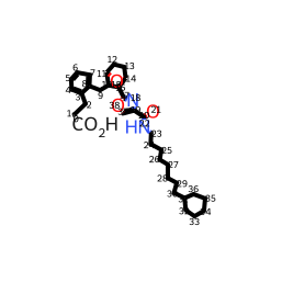 O=C(O)CCc1ccccc1CC1C2CCC(O2)C1c1nc(C(=O)NCCCCCCCCC2CCCCC2)co1